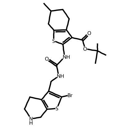 CC1CCc2c(sc(NC(=O)NCc3c(Br)sc4c3CCNC4)c2C(=O)OC(C)(C)C)C1